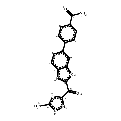 NC(=O)c1ccc(-c2ccc3nc(C(=O)c4nnc(N)o4)sc3c2)cc1